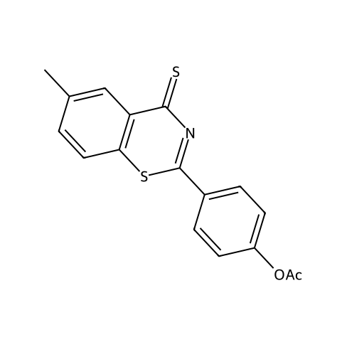 CC(=O)Oc1ccc(-c2nc(=S)c3cc(C)ccc3s2)cc1